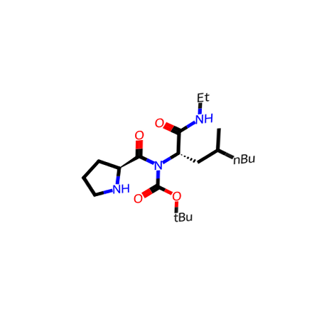 CCCCC(C)C[C@@H](C(=O)NCC)N(C(=O)OC(C)(C)C)C(=O)[C@@H]1CCCN1